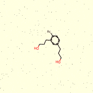 CC(=O)c1ccc(CCCO)cc1CCCO